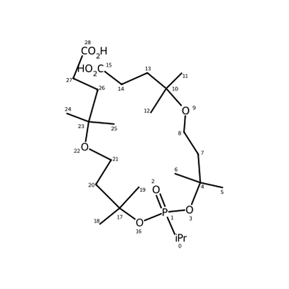 CC(C)P(=O)(OC(C)(C)CCOC(C)(C)CCC(=O)O)OC(C)(C)CCOC(C)(C)CCC(=O)O